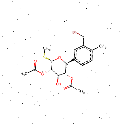 CS[C@H]1O[C@@H](c2ccc(C)c(CBr)c2)[C@H](OC(C)=O)[C@@H](O)[C@@H]1OC(C)=O